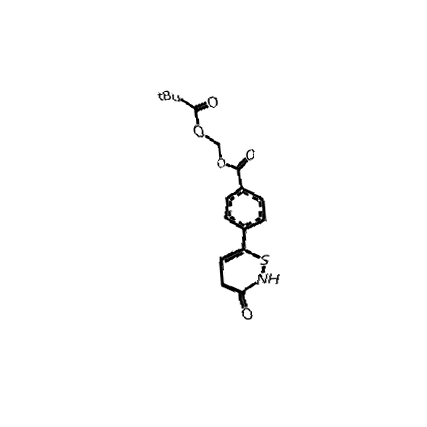 CC(C)(C)C(=O)OCOC(=O)c1ccc(C2=CCC(=O)NS2)cc1